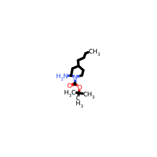 CCCCC1CCN(C(=O)OC(C)(C)C)C(N)C1